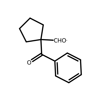 O=[C]C1(C(=O)c2ccccc2)CCCC1